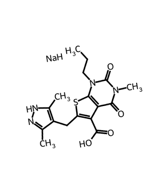 CCCn1c(=O)n(C)c(=O)c2c(C(=O)O)c(Cc3c(C)n[nH]c3C)sc21.[NaH]